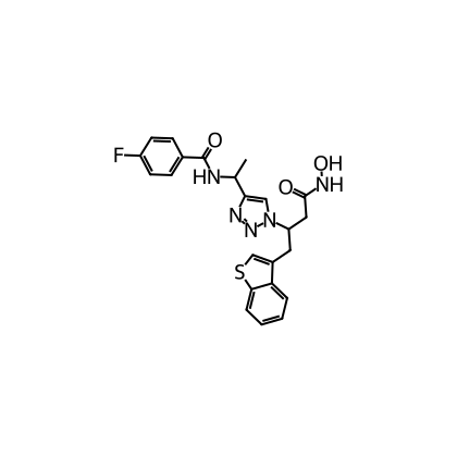 CC(NC(=O)c1ccc(F)cc1)c1cn(C(CC(=O)NO)Cc2csc3ccccc23)nn1